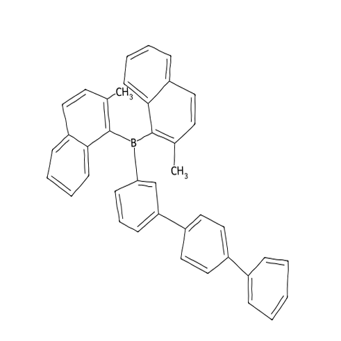 Cc1ccc2ccccc2c1B(c1cccc(-c2ccc(-c3ccccc3)cc2)c1)c1c(C)ccc2ccccc12